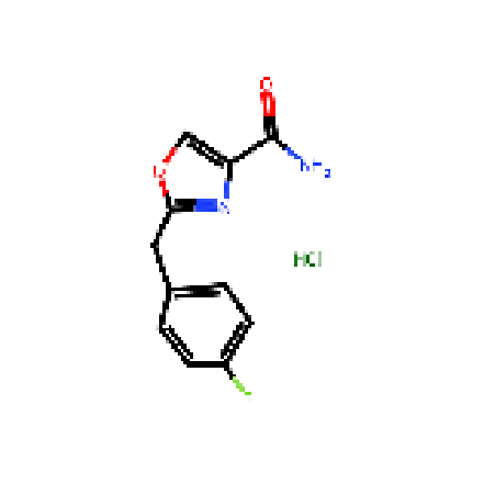 Cl.NC(=O)c1coc(Cc2ccc(F)cc2)n1